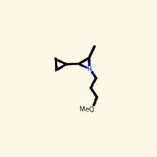 COCCCN1C(C)C1C1CC1